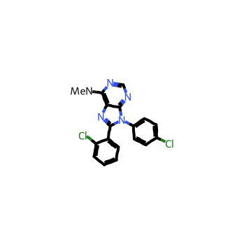 CNc1ncnc2c1nc(-c1ccccc1Cl)n2-c1ccc(Cl)cc1